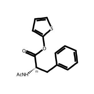 CC(=O)N[C@@H](Cc1ccccc1)C(=O)Oc1cccs1